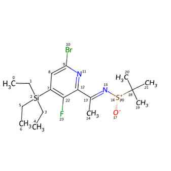 CC[Si](CC)(CC)c1cc(Br)nc(C(C)=N[S@@+]([O-])C(C)(C)C)c1F